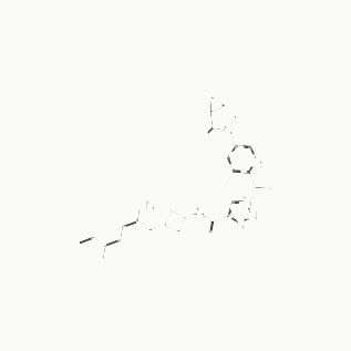 C=C/C(Cl)=C\C=C(\C#N)C[C@H]1C[C@@H](NC(=O)c2cn(C(C)c3ncc(N4CC5C(C4=O)[C@@H]5C)cc3C)nn2)C1